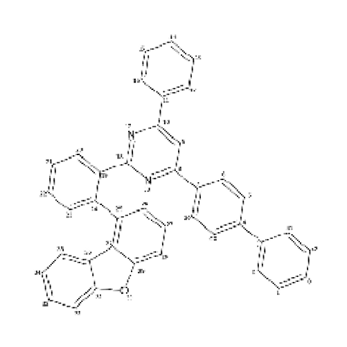 c1ccc(-c2ccc(-c3cc(-c4ccccc4)nc(-c4ccccc4-c4cccc5oc6ccccc6c45)n3)cc2)cc1